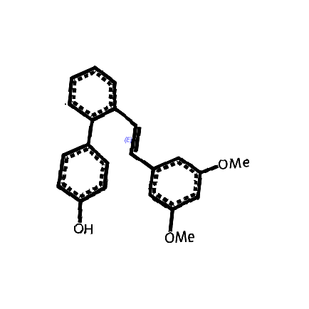 COc1cc(/C=C/c2ccc[c]c2-c2ccc(O)cc2)cc(OC)c1